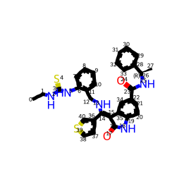 CCNC(=S)Nc1ccccc1CNC(=C1C(=O)Nc2ccc(C(=O)N[C@H](C)c3ccccc3)cc21)c1ccsc1